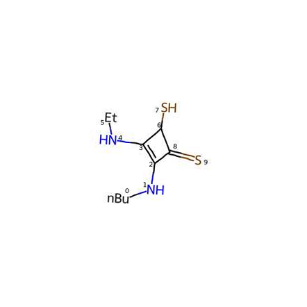 CCCCNC1=C(NCC)C(S)C1=S